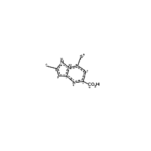 Cc1cc2nc(C(=O)O)cc([S])n2n1